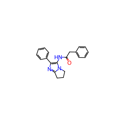 O=C(Cc1ccccc1)Nc1c(-c2ccccc2)nc2n1CCC2